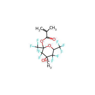 C=C(C)C(=O)OC1(C(F)(F)F)OC(C(F)(F)F)C(F)(F)C(C)(O)C1(F)F